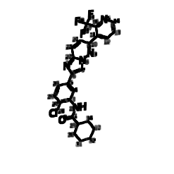 O=C(Nc1cc(-c2cn3nc(-c4cccnc4C(F)(F)F)ccc3n2)ccc1Cl)C1CCCCC1